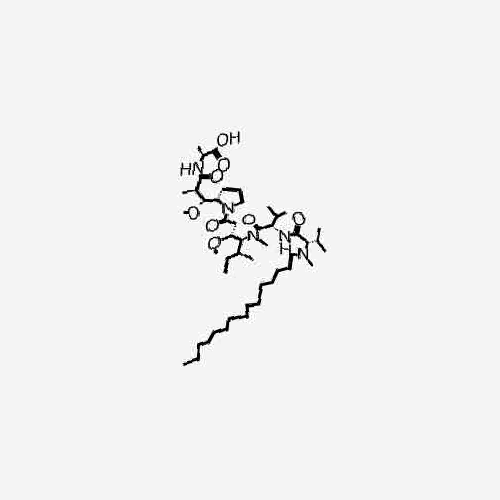 CCCCCCCCCCCCCCCN(C)[C@H](C(=O)N[C@H](C(=O)N(C)[C@@H]([C@@H](C)CC)[C@@H](CC(=O)N1CCC[C@H]1[C@H](OC)[C@@H](C)C(=O)N[C@@H](C)C(=O)O)OC)C(C)C)C(C)C